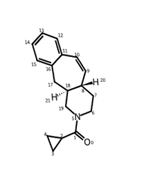 O=C(C1CC1)N1CC[C@H]2C=Cc3ccccc3C[C@@H]2C1